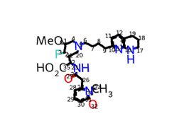 COC(CF)CN(CCCCc1ccc2c(n1)NCCC2)CCC(NC(=O)Cc1cccc(=O)n1C)C(=O)O